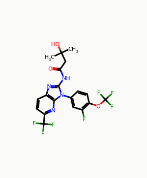 CC(C)(O)CC(=O)Nc1nc2ccc(C(F)(F)F)nc2n1-c1ccc(OC(F)(F)F)c(F)c1